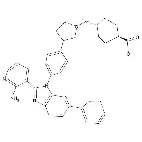 Nc1ncccc1-c1nc2ccc(-c3ccccc3)nc2n1-c1ccc(C2CCN(C[C@H]3CC[C@H](C(=O)O)CC3)C2)cc1